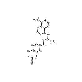 COc1cccc2c1CCCC2CN(C)CCc1ccc2c(c1)OC(=O)CC2